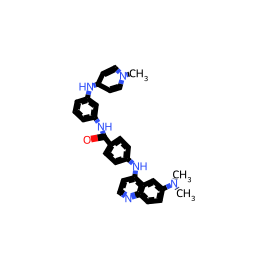 CN1C=CC(Nc2cccc(NC(=O)c3ccc(Nc4ccnc5ccc(N(C)C)cc45)cc3)c2)C=C1